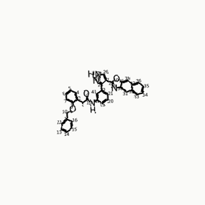 O=C(Cc1ccccc1OCc1ccccc1)Nc1cccc(-c2n[nH]cc2-c2nc3cc4ccccc4cc3o2)c1